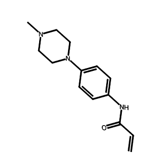 C=CC(=O)Nc1ccc(N2CCN(C)CC2)cc1